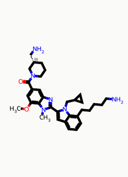 COc1cc(C(=O)N2CCC[C@@H](CN)C2)cc2nc(-c3cc4cccc(CCCCCN)c4n3CC3CC3)n(C)c12